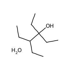 CCC(CC)C(O)(CC)CC.O